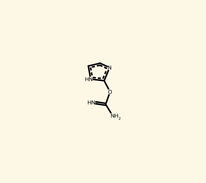 N=C(N)Oc1ncc[nH]1